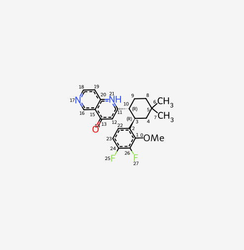 COc1c([C@@H]2CC(C)(C)CC[C@H]2c2cc(=O)c3cnccc3[nH]2)ccc(F)c1F